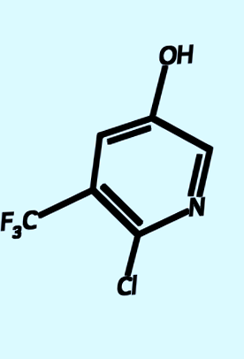 Oc1cnc(Cl)c(C(F)(F)F)c1